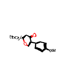 CCOC(=O)c1cc(=O)c(-c2ccc(OC)cc2)co1